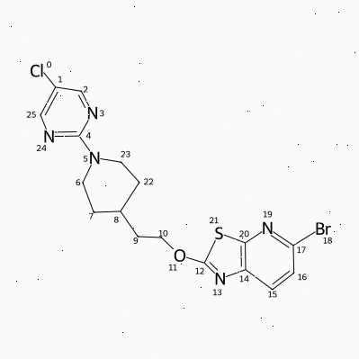 Clc1cnc(N2CCC(CCOc3nc4ccc(Br)nc4s3)CC2)nc1